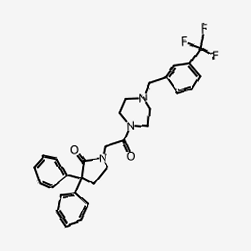 O=C(CN1CCC(c2ccccc2)(c2ccccc2)C1=O)N1CCN(Cc2cccc(C(F)(F)F)c2)CC1